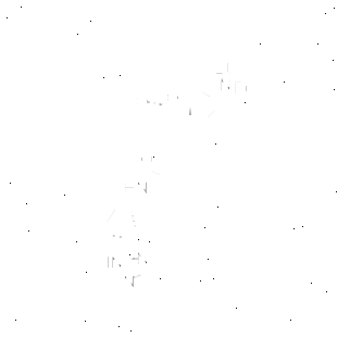 CCN(CC)c1ccc2c(c1)OC(=O)C(CCOC(=O)NCc1cccc(-c3ncn[nH]3)c1)C2C